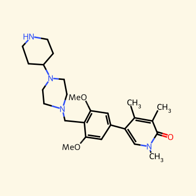 COc1cc(-c2cn(C)c(=O)c(C)c2C)cc(OC)c1CN1CCN(C2CCNCC2)CC1